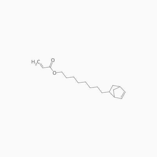 C=CC(=O)OCCCCCCCCC1CC2C=CC1C2